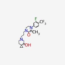 C[C@@H]1C(=O)N(CCCN2CCC3(CC3)[C@H](O)C2)CCN1c1ccc(C(F)(F)F)c(F)c1